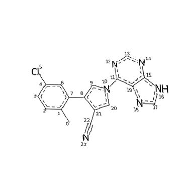 Cc1ccc(Cl)cc1-c1cn(-c2ncnc3[nH]cnc23)cc1C#N